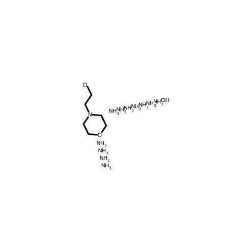 Cl.ClCCN1CCOCC1.N.N.N.N.N.N.N.N.N.N.N